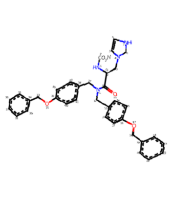 O=C(O)N[C@@H](CN1C=CNC1)C(=O)N(Cc1ccc(OCc2ccccc2)cc1)Cc1ccc(OCc2ccccc2)cc1